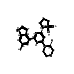 C[C@@H]1COCCN1c1cc([C@@H]2CCCS2(=O)=O)nc(-c2cc(F)cc3[nH]ccc23)n1